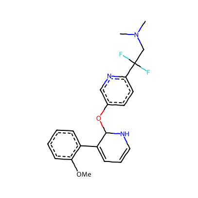 COc1ccccc1C1=CC=CNC1Oc1ccc(C(F)(F)CN(C)C)nc1